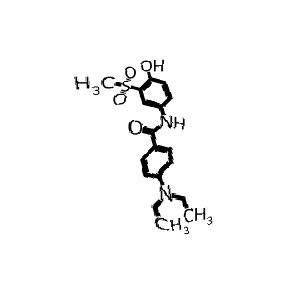 CCN(CC)c1ccc(C(=O)Nc2ccc(O)c(S(C)(=O)=O)c2)cc1